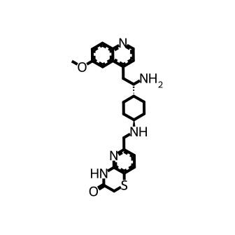 COc1ccc2nccc(CC(N)[C@H]3CC[C@H](NCc4ccc5c(n4)NC(=O)CS5)CC3)c2c1